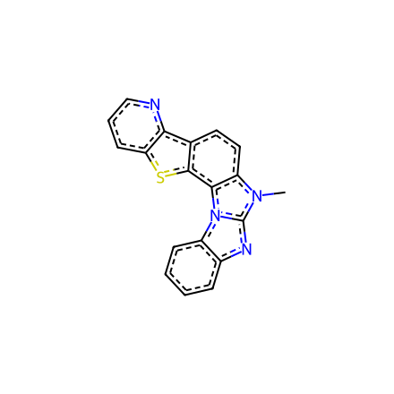 Cn1c2ccc3c4ncccc4sc3c2n2c3ccccc3nc12